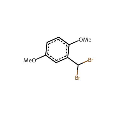 COc1ccc(OC)c(C(Br)Br)c1